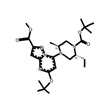 CC[C@@H]1CN(c2cc(OC(C)(C)C)nc3cc(C(=O)OC)nn23)[C@@H](C)CN1C(=O)OC(C)(C)C